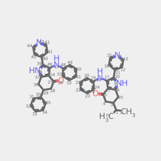 CC(C)C1CC(=O)c2c([nH]c(-c3ccncc3)c2Nc2ccccc2)C1.O=C1CC(c2ccccc2)Cc2[nH]c(-c3ccncc3)c(Nc3ccccc3)c21